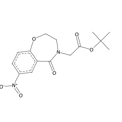 CC(C)(C)OC(=O)CN1CCOc2ccc([N+](=O)[O-])cc2C1=O